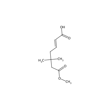 COC(=O)CC(C)(C)CC=CC(=O)O